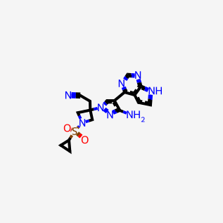 N#CCC1(n2cc(-c3ncnc4[nH]ccc34)c(N)n2)CN(S(=O)(=O)C2CC2)C1